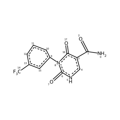 NC(=O)c1c[nH]c(=O)n(-c2cccc(C(F)(F)F)c2)c1=O